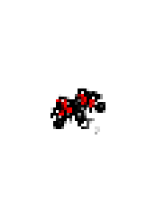 Cc1ccc(-c2ccc3c4ccc(-c5ccc(C)cc5C)cc4n(-c4c(-c5nc(-c6ccccc6)cc(-c6ccccc6)n5)cc(C(F)(F)F)cc4-c4nc(-c5ccccc5)cc(-c5ccccc5)n4)c3c2)c(C)c1